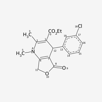 CCOC(=O)C1=C(C)N(C)C2=C(C(=O)OC2)C1c1cccc(Cl)c1